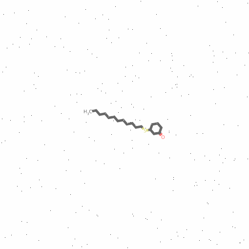 CCCCCCCCCCCCSC1CCCC(=O)C1